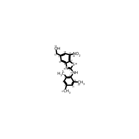 Cc1cc(C)c(Nc2nc3cc(CO)cc([N+](=O)[O-])c3s2)c(C)c1